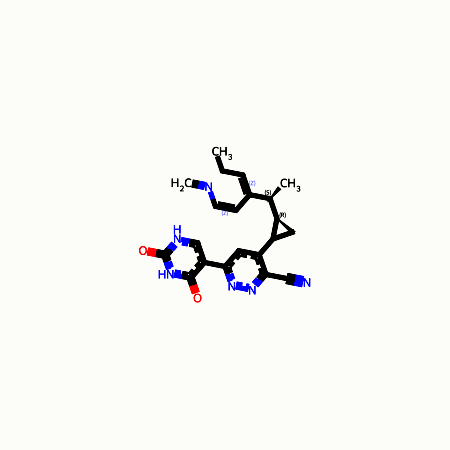 C=N/C=C\C(=C/CC)[C@@H](C)[C@H]1CC1c1cc(-c2c[nH]c(=O)[nH]c2=O)nnc1C#N